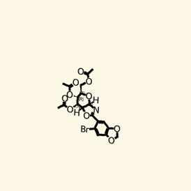 CC(=O)OC[C@H]1O[C@@H]2N=C(c3cc4c(cc3Br)OCO4)O[C@@H]2[C@@H](OC(C)=O)[C@@H]1OC(C)=O